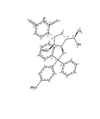 COc1ccc(C(O[C@H]2[C@@H](OC)[C@H](n3ccc(=O)[nH]c3=O)O[C@@H]2[C@@H](C)O)(c2ccccc2)c2ccccc2)cc1